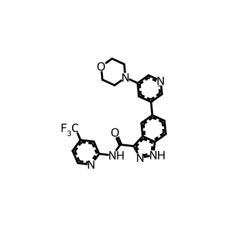 O=C(Nc1cc(C(F)(F)F)ccn1)c1n[nH]c2ccc(-c3cncc(N4CCOCC4)c3)cc12